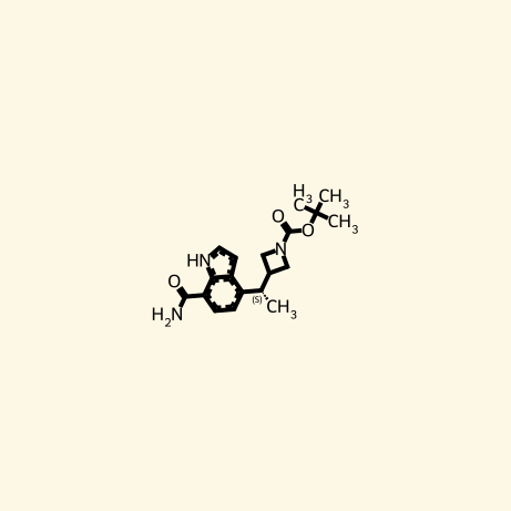 C[C@H](c1ccc(C(N)=O)c2[nH]ccc12)C1CN(C(=O)OC(C)(C)C)C1